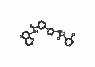 O=C(Nc1cnn(-c2cccc(C(=O)Nc3ccnc4cccnc34)c2)c1)Nc1ccccc1Cl